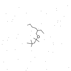 CCCCC(CC)COC(C)(C)CC(C)(C)C